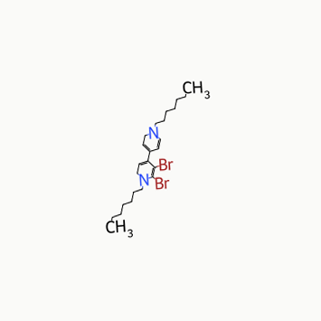 CCCCCCCN1C=CC(C2=CCN(CCCCCCC)C(Br)=C2Br)=CC1